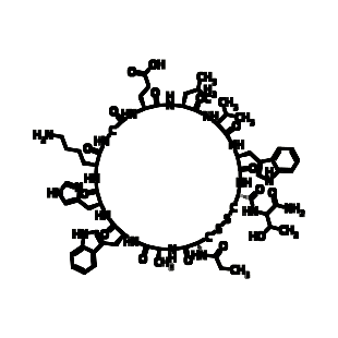 CCC(=O)N[C@H]1CSSC[C@@H](C(=O)NC(C(N)=O)C(C)O)NC(=O)[C@H](Cc2c[nH]c3ccccc23)NC(=O)C(C(C)C)NC(=O)[C@H](CC(C)C)NC(=O)[C@H](CCC(=O)O)NC(=O)CNC(=O)[C@H](CCCCN)NC(=O)[C@H](Cc2c[nH]cn2)NC(=O)[C@H](Cc2c[nH]c3ccccc23)NC(=O)[C@H](C)NC1=O